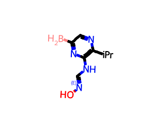 Bc1cnc(C(C)C)c(N/C=N/O)n1